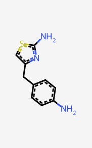 Nc1ccc(Cc2csc(N)n2)cc1